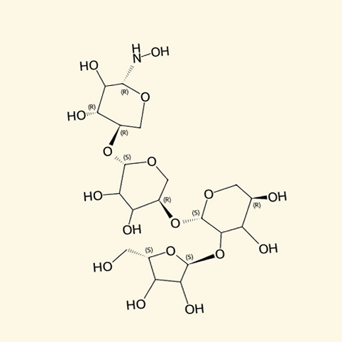 OC[C@@H]1O[C@@H](OC2C(O)[C@H](O)CO[C@H]2O[C@@H]2CO[C@@H](O[C@@H]3CO[C@@H](NO)C(O)[C@H]3O)C(O)C2O)C(O)C1O